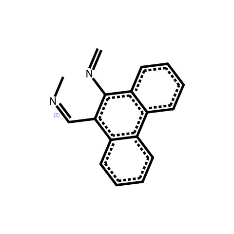 C=Nc1c(/C=N\C)c2ccccc2c2ccccc12